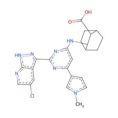 Cn1ccc(-c2cc(NC3C4CCC(CC4)C3C(=O)O)nc(-c3n[nH]c4ncc(Cl)cc34)n2)c1